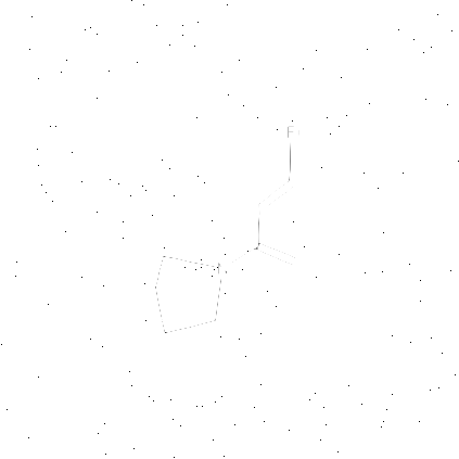 C=C(C=CCC)N1CCCC1